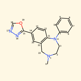 CN1CCN(c2ccccc2)c2ccc(-c3nnco3)cc2C1